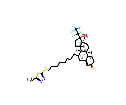 Cc1nnc(SCCCCCCCCC2CC3=CC(=O)CC[C@]3(C)[C@@H]3CC[C@@]4(C)[C@@H](CCC4(O)C(F)(F)C(F)(F)F)[C@H]23)s1